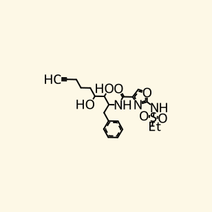 C#CCCCC(O)C(O)C(Cc1ccccc1)NC(=O)c1coc(NS(=O)(=O)CC)n1